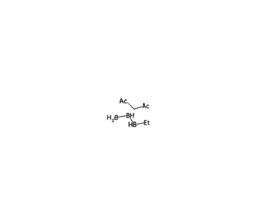 BBBCC.CC(=O)CC(C)=O